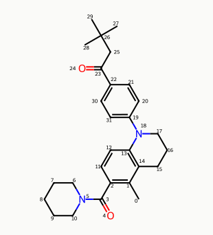 Cc1c(C(=O)N2CCCCC2)ccc2c1CCCN2c1ccc(C(=O)CC(C)(C)C)cc1